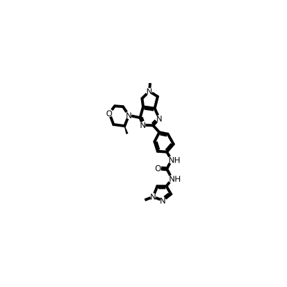 C[C@H]1COCCN1c1nc(-c2ccc(NC(=O)Nc3cnn(C)c3)cc2)nc2c1CN(C)C2